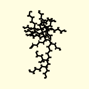 C=CCCC[C](CC(CCC)CCCCC(CC(CCC)CCCCC)C(C)CCC)C(C)(CCC=CC)C(CC=CCC)(CC(CCC)CCCCC)C(C=CCCC)(CC(CCC)CCCCC)CC(CCC)CCCCC